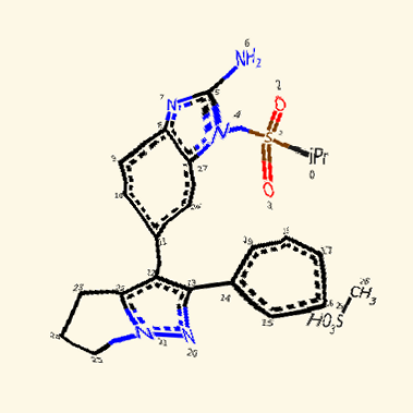 CC(C)S(=O)(=O)n1c(N)nc2ccc(-c3c(-c4ccccc4)nn4c3CCC4)cc21.CS(=O)(=O)O